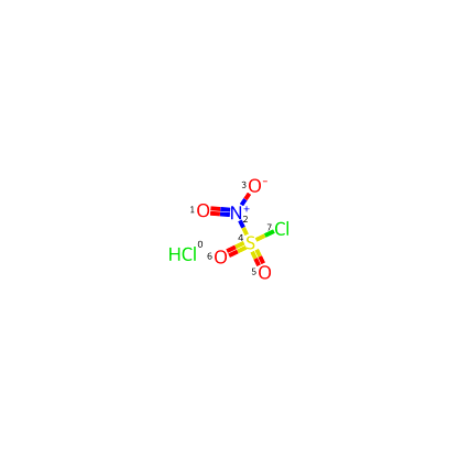 Cl.O=[N+]([O-])S(=O)(=O)Cl